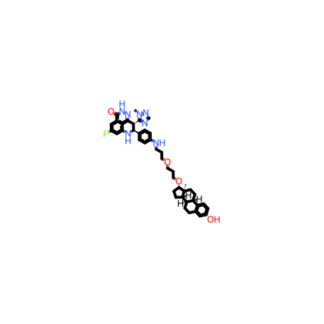 Cn1ncnc1[C@H]1c2n[nH]c(=O)c3cc(F)cc(c23)N[C@@H]1c1ccc(NCCCOCCCO[C@H]2CC[C@H]3[C@@H]4CCc5cc(O)ccc5[C@H]4CC[C@]23C)cc1